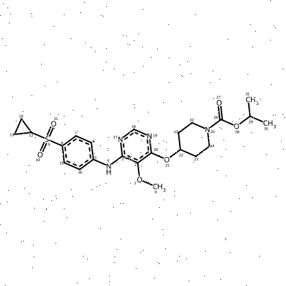 COc1c(Nc2ccc(S(=O)(=O)C3CC3)cc2)ncnc1OC1CCN(C(=O)OC(C)C)CC1